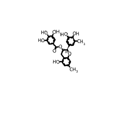 Cc1cc(O)c2c(c1)O[C@H](c1cc(C)c(O)c(O)c1)[C@H](OC(=O)c1cc(O)c(O)c(O)c1)C2